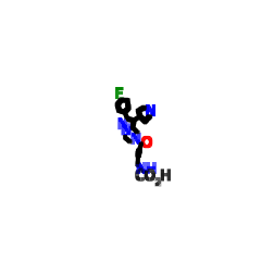 O=C(O)NCC#CC(=O)N1CCn2nc(-c3ccc(F)cc3)c(-c3ccncc3)c2C1